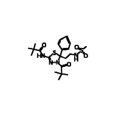 CC(C)(C)C(=O)NC1=NN(C(=O)C(C)(C)C)C(CCNS(C)(=O)=O)(c2ccccc2)S1